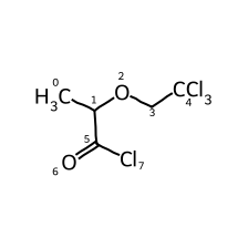 CC(OCC(Cl)(Cl)Cl)C(=O)Cl